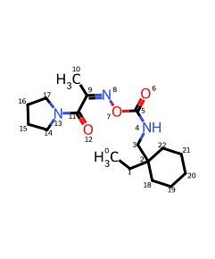 CCC1(CNC(=O)ON=C(C)C(=O)N2CCCC2)CCCCC1